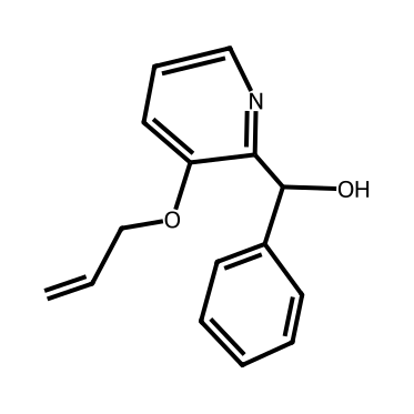 C=CCOc1cccnc1C(O)c1ccccc1